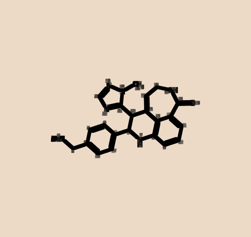 CNCc1ccc(C2Nc3cccc4c3C(=CCNC4=O)C2c2ncnn2C)cc1